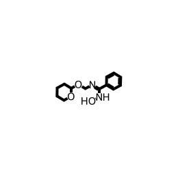 ONC(=NCOC1CCCCO1)c1ccccc1